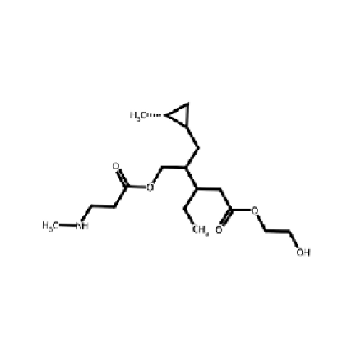 CCC(CC(=O)OCCO)C(COC(=O)CCNC)CC1C[C@H]1C